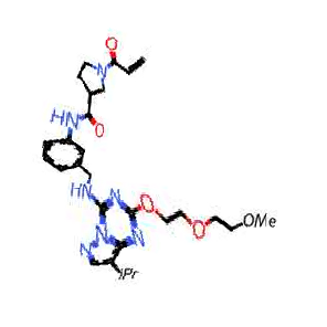 C=CC(=O)N1CCC(C(=O)Nc2cccc(CNc3nc(OCCOCCOC)nc4c(C(C)C)cnn34)c2)C1